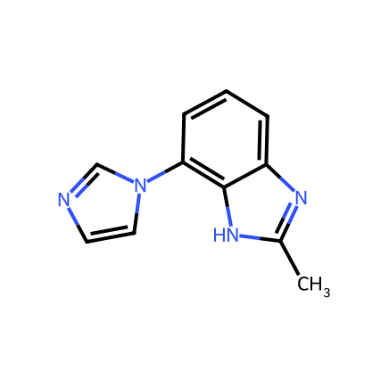 Cc1nc2cccc(-n3ccnc3)c2[nH]1